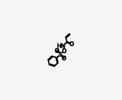 C=CC(=O)NOS(=O)(=O)c1ccccc1